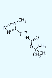 Cn1cnnc1C1CN(C(=O)OC(C)(C)C)C1